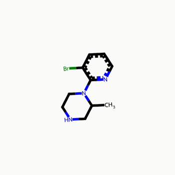 CC1CNCCN1c1ncccc1Br